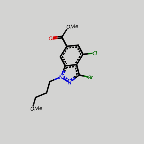 COCCCn1nc(Br)c2c(Cl)cc(C(=O)OC)cc21